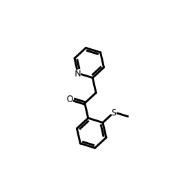 CSc1ccccc1C(=O)Cc1ccccn1